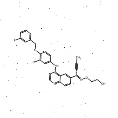 CC#C/C(=N\OCCO)c1ccc2ncnc(Nc3ccc(OCc4cccc(F)c4)c(Cl)c3)c2c1